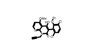 C#CCn1c(=O)c(-c2c(Cl)ccc(Cl)c2OCC)c(O)c2c(OC)ccnc21